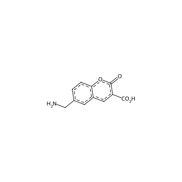 NCc1ccc2oc(=O)c(C(=O)O)cc2c1